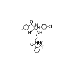 Cc1ccc(C(=O)c2nn(-c3ccc(Cl)cc3)c(NCCCNC(=O)c3ccccc3C(F)(F)F)c2C#N)cc1